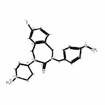 COc1ccc(CN2Cc3ccc(F)cc3CN(C3CCN(C)CC3)C2=O)cc1